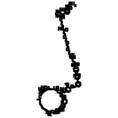 CO[C@H]1C[C@@H]2CC[C@@H](C)[C@@](O)(O2)C(=O)C(=O)N2CCCC[C@H]2C(=O)O[C@H]([C@H](N)C[C@@H]2CC[C@@H](OCc3cccc(-c4cnc(N5CCN(S(=O)(=O)CCc6cn(CCOCCOCCOCCC(=O)NCCCCn7nc(-c8ccc9oc(N)nc9c8)c8c(N)ncnc87)nn6)CC5)nc4)c3)[C@H](OC)C2)CC(=O)[C@H](C)/C=C(\C)[C@@H](O)[C@@H](O)C(=O)[C@H](C)C[C@H](C)/C=C/C=C/C=C/1C